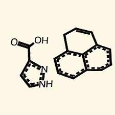 C1=Cc2cccc3cccc(c23)C1.O=C(O)c1cc[nH]n1